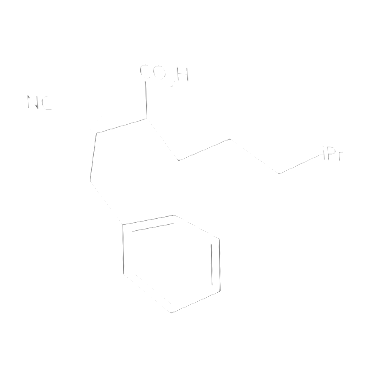 CC(C)CCCC(C(=O)O)[C@@H](C#N)Cc1ccccc1